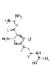 CN(CC(=O)NC(=N)N)c1nc(N)c(C(=O)N=C(N)N)nc1Cl